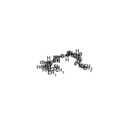 Cc1ncsc1-c1ccc([C@H](C)NC(=O)[C@@H]2C[C@@H](O)CN2C(=O)[C@@H](NC(=O)CCN2C[C@H]3CN(CCOCCNc4cc(N5CCC6(CC5)CN(c5cc(F)c(CN7CCC(C)(C)CC7)cc5F)CC(=O)N6)ncn4)C[C@H]3C2)C(C)(C)C)cc1